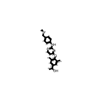 C=NCc1ccc(Nc2nccc(Oc3c(C)cc(C(C)O)cc3C)n2)cc1